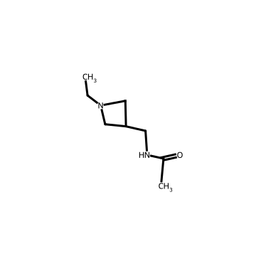 CCN1CC(CNC(C)=O)C1